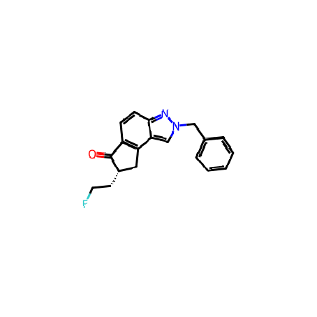 O=C1c2ccc3nn(Cc4ccccc4)cc3c2C[C@@H]1CCF